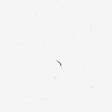 COC(=O)[C@H](C[C@@]1(C(=O)OC)CCC/C1=N\C(C)c1ccccc1)NC(=O)C(F)(F)F